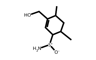 CC1CC(C)C([S+](N)[O-])C=C1CO